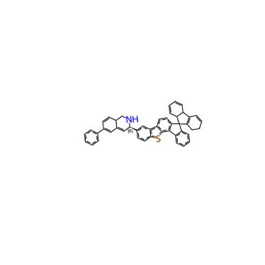 C1=CC2C3=C(CCC=C3)C3(c4ccccc4-c4c3ccc3c4sc4ccc([C@H]5C=C6C=C(c7ccccc7)C=CC6CN5)cc43)C2C=C1